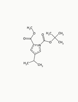 COC(=O)c1cc(C(C)C)cn1C(=O)OC(C)(C)C